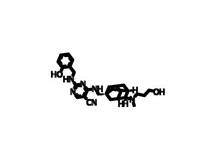 CN(CCCO)[C@@H]1[C@@H]2CC3C[C@H]1C[C@](CNc1nc(NCc4ccccc4O)ncc1C#N)(C3)C2